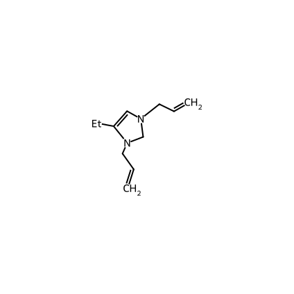 C=CCN1C=C(CC)N(CC=C)C1